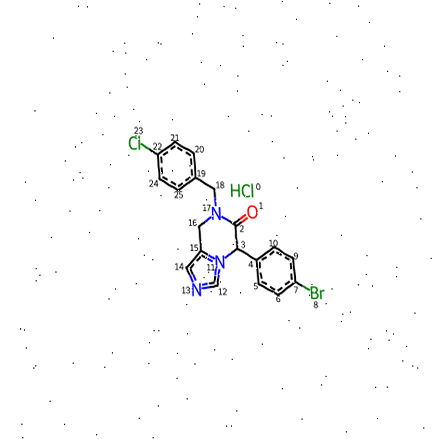 Cl.O=C1C(c2ccc(Br)cc2)n2cncc2CN1Cc1ccc(Cl)cc1